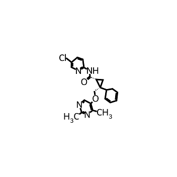 Cc1ncc(OC[C@@]2(C3C=CC=CC3)C[C@H]2C(=O)Nc2ccc(Cl)cn2)c(C)n1